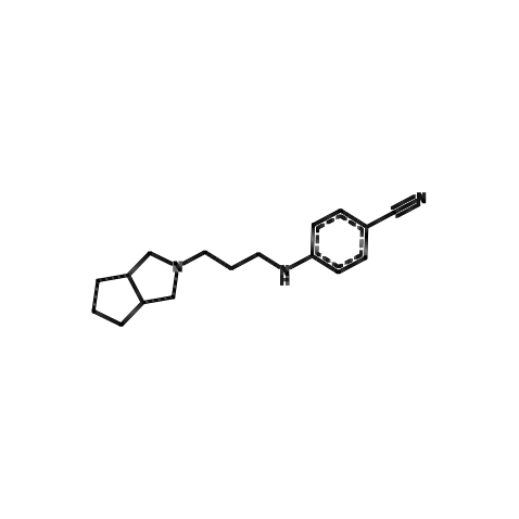 N#Cc1ccc(NCCCN2CC3CCCC3C2)cc1